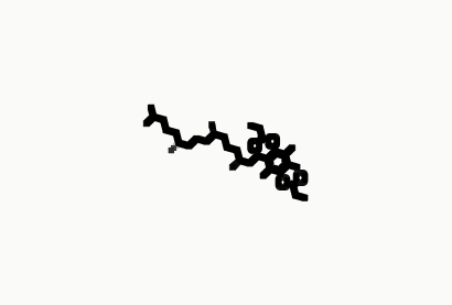 CCC(=O)Oc1c(C)c(C)c(OC(=O)CC)c(CC[C@@H](C)CCC[C@H](C)CCC[C@H](C)CCCC(C)C)c1C